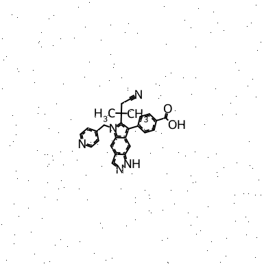 CC(C)(CC#N)c1c(-c2ccc(C(=O)O)cc2)c2cc3[nH]ncc3cc2n1Cc1ccncc1